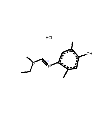 CCN(C)/C=N/c1cc(C)c(O)cc1C.Cl